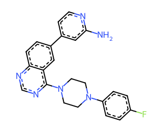 Nc1cc(-c2ccc3ncnc(N4CCN(c5ccc(F)cc5)CC4)c3c2)ccn1